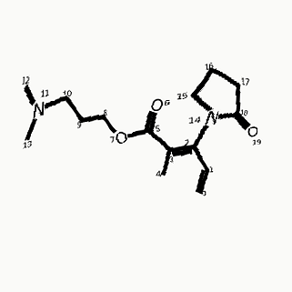 C=CC(=C(C)C(=O)OCCCN(C)C)N1CCCC1=O